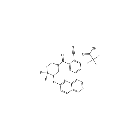 N#Cc1ccccc1C(=O)N1CCC(F)(F)C(Oc2ccc3ccccc3n2)C1.O=C(O)C(F)(F)F